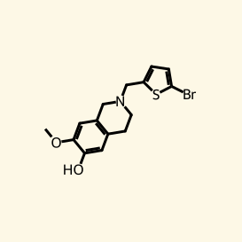 COc1cc2c(cc1O)CCN(Cc1ccc(Br)s1)C2